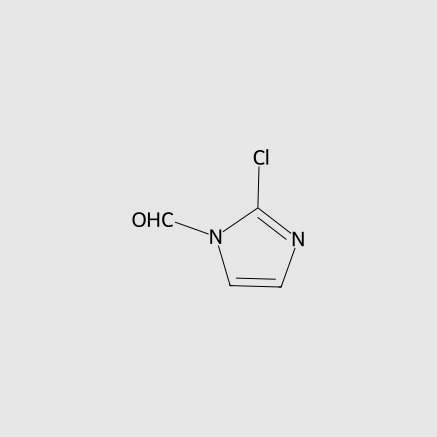 O=Cn1ccnc1Cl